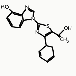 C=C(O)c1sc(-n2cnc3c(O)cccc32)nc1C1C=CC=CC1